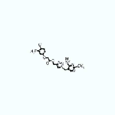 Cc1ncc(Cn2cc(COC(=O)COc3ccc(Cl)c(C)c3)nn2)c(N)n1